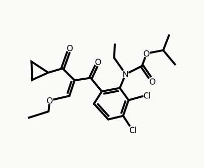 CCOC=C(C(=O)c1ccc(Cl)c(Cl)c1N(CC)C(=O)OC(C)C)C(=O)C1CC1